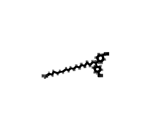 C=CCCCCCCCCCCCCCCCCC(c1ccc(O)cc1)c1ccc(O)cc1